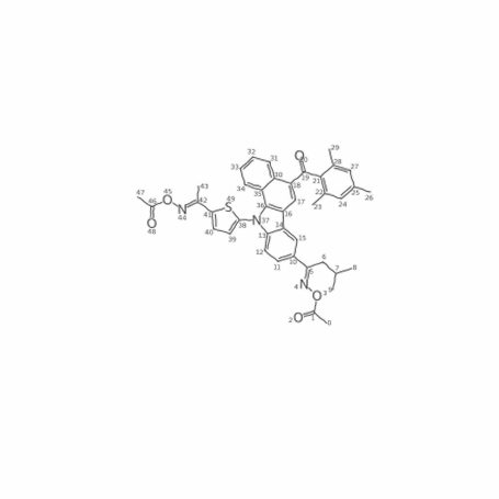 CC(=O)O/N=C(\CC(C)C)c1ccc2c(c1)c1cc(C(=O)c3c(C)cc(C)cc3C)c3ccccc3c1n2-c1ccc(/C(C)=N/OC(C)=O)s1